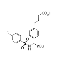 CCCCC(NS(=O)(=O)c1ccc(F)cc1)c1ccc(CCCC(=O)O)cc1